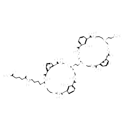 NCCN1CCNC(=O)c2cccc(c2O)C(=O)NCCN(CCN2CCNC(=O)c3cccc(c3O)C(=O)NCCCCC(CCCCNC(=O)CCCC(=O)O)NC(=O)c3cccc(c3O)C(=O)NCC2)CCNC(O)c2cccc(c2O)C(=O)NCC1